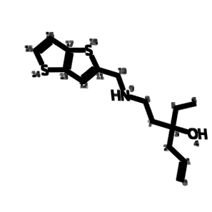 C=CCC(O)(CC)CCNCc1cc2sccc2s1